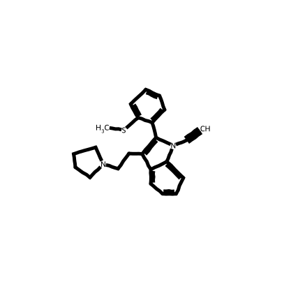 C#Cn1c(-c2ccccc2SC)c(CCN2CCCC2)c2ccccc21